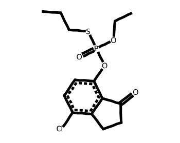 CCCSP(=O)(OCC)Oc1ccc(Cl)c2c1C(=O)CC2